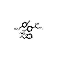 CN(Cc1ccccc1)S(=O)(=O)Nc1ccc(C(O)CN)cc1.Cc1ccc(S(=O)(=O)O)cc1